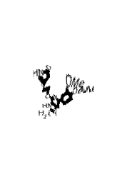 COc1ccc(-c2cc3nc(C)[nH]c3c(OCC[C@H]3CNC(=O)C3)n2)cc1OC